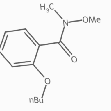 CCCCOc1ccccc1C(=O)N(C)OC